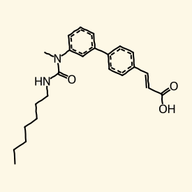 CCCCCCCNC(=O)N(C)c1cccc(-c2ccc(C=CC(=O)O)cc2)c1